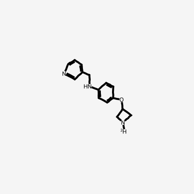 [2H]N1CC(Oc2ccc(NCc3cccnc3)cc2)C1